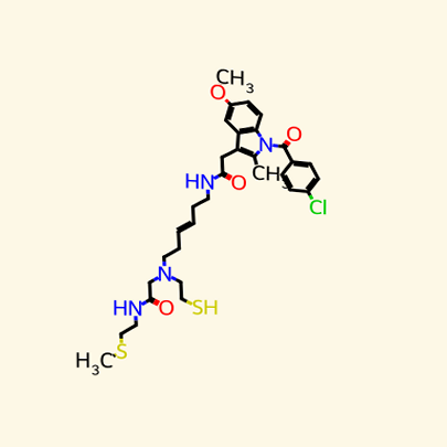 COc1ccc2c(c1)c(CC(=O)NCC/C=C/CCN(CCS)CC(=O)NCCSC)c(C)n2C(=O)c1ccc(Cl)cc1